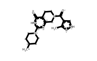 Cc1n[nH]cc1C(=O)N1CCc2c(nc(N3CCC(C)CC3)[nH]c2=O)C1